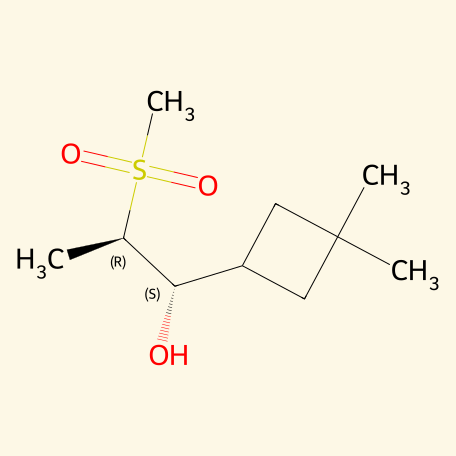 C[C@H]([C@@H](O)C1CC(C)(C)C1)S(C)(=O)=O